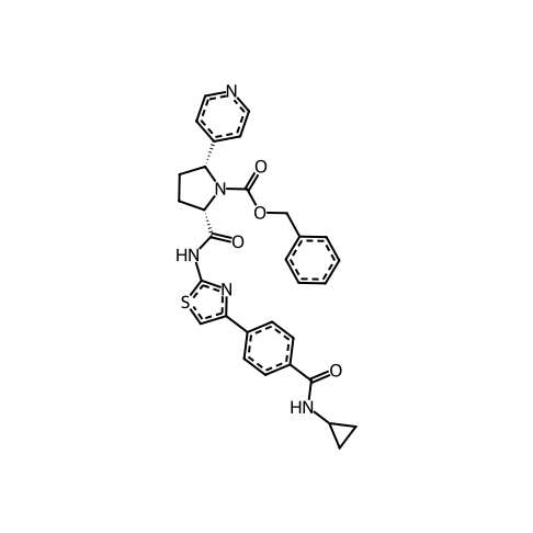 O=C(NC1CC1)c1ccc(-c2csc(NC(=O)[C@@H]3CC[C@H](c4ccncc4)N3C(=O)OCc3ccccc3)n2)cc1